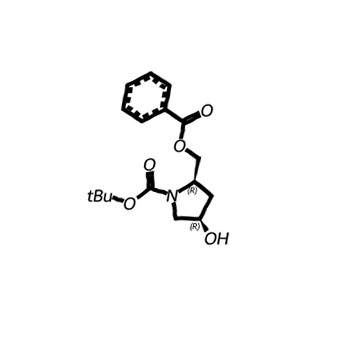 CC(C)(C)OC(=O)N1C[C@H](O)C[C@@H]1COC(=O)c1ccccc1